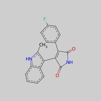 Cc1[nH]c2ccccc2c1C1=C(c2ccc(F)cc2)C(=O)NC1=O